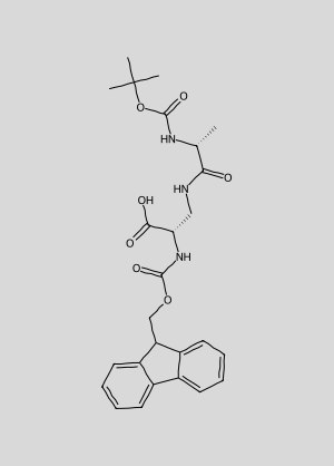 C[C@@H](NC(=O)OC(C)(C)C)C(=O)NC[C@H](NC(=O)OCC1c2ccccc2-c2ccccc21)C(=O)O